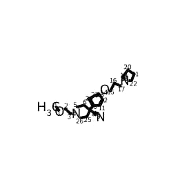 COCCN1CCC(C#N)(c2ccc(OCCCN3CCCC3)cc2)CC1